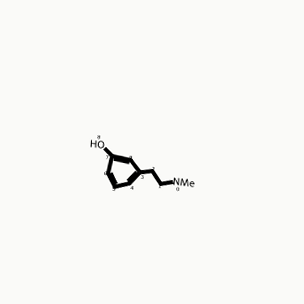 CNCCc1cccc(O)c1